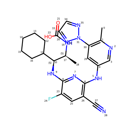 Cc1ncc(Nc2nc(N[C@@H](C3CCCCC3)[C@H](C)NC(=O)O)c(F)cc2C#N)cc1-n1nccn1